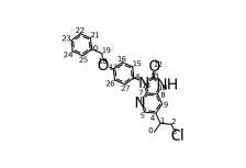 CC(CCl)c1cnc2c(c1)[nH]c(=O)n2-c1ccc(OCc2ccccc2)cc1